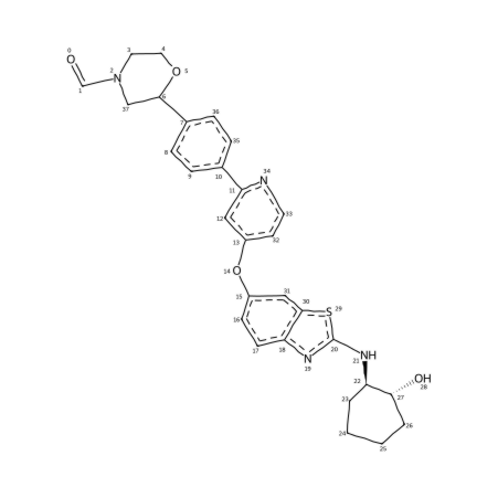 O=CN1CCOC(c2ccc(-c3cc(Oc4ccc5nc(N[C@@H]6CCCC[C@H]6O)sc5c4)ccn3)cc2)C1